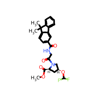 COC(=O)[C@@H]1C[C@@H](OC(F)F)CN1C(=O)CNC(=O)c1ccc2c(c1)-c1ccccc1C2(C)C